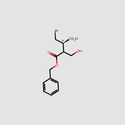 CC(C)C[C@@H](C(=O)O)C(CO)C(=O)OCc1ccccc1